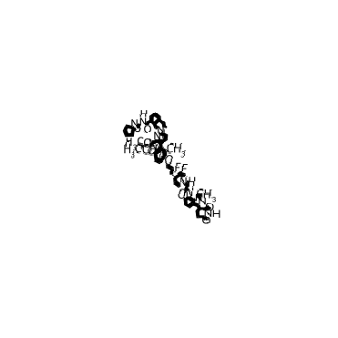 Cc1c(OCCC[C@H]2CCN(CC(=O)Nc3cccc4c(C5CCC(=O)NC5=O)nn(C)c34)CC2(F)F)cccc1-c1ccc(N2CCc3cccc(C(=O)Nc4nc5ccccc5s4)c3C2)nc1C(=O)OC(C)(C)C